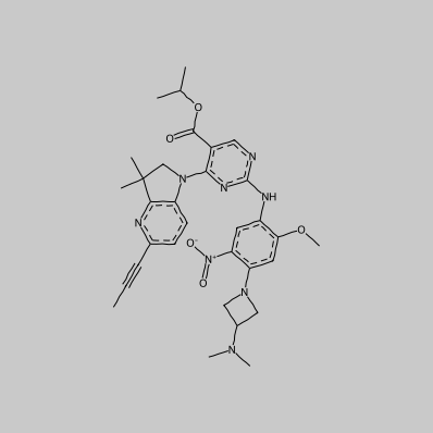 CC#Cc1ccc2c(n1)C(C)(C)CN2c1nc(Nc2cc([N+](=O)[O-])c(N3CC(N(C)C)C3)cc2OC)ncc1C(=O)OC(C)C